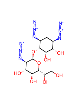 [N-]=[N+]=N[C@H]1[C@@H](O[C@H]2[C@H](O)[C@@H](O)[C@H](N=[N+]=[N-])C[C@@H]2N=[N+]=[N-])O[C@H](C(O)CO)[C@@H](O)[C@@H]1O